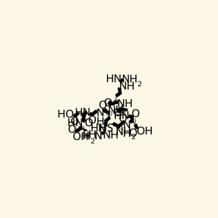 N=C(N)NCCC[C@H](NC(=O)CNC(=O)[C@H](CC(=O)O)NC(=O)[C@@H](N)CS)C(=O)N[C@@H](CCCNC(=N)N)C(=O)NCC(=O)N[C@@H](CC(=O)O)C(=O)N[C@@H](CS)C(=O)O